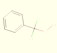 [CH2]COC(Cl)(Cl)c1ccccc1